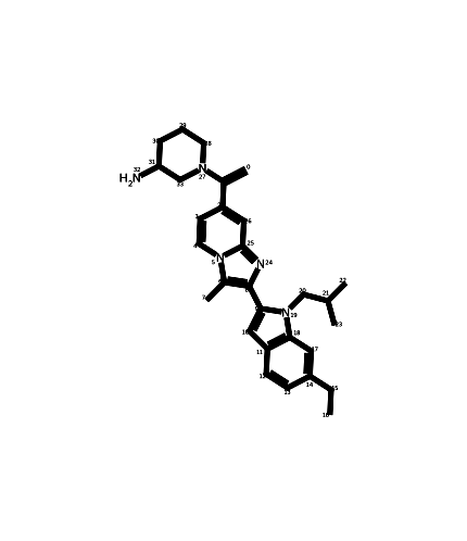 C=C(c1ccn2c(C)c(-c3cc4ccc(CC)cc4n3CC(C)C)nc2c1)N1CCCC(N)C1